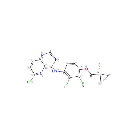 Fc1c(Nc2ncnc3ccc(Cl)nc23)ccc(OCC2(F)CC2)c1F